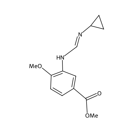 COC(=O)c1ccc(OC)c(NC=NC2CC2)c1